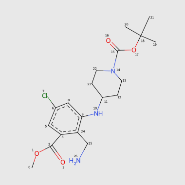 COC(=O)c1cc(Cl)cc(NC2CCN(C(=O)OC(C)(C)C)CC2)c1CN